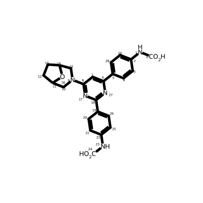 O=C(O)Nc1ccc(-c2cc(N3CC4CCC(C3)O4)nc(-c3ccc(NC(=O)O)cc3)n2)cc1